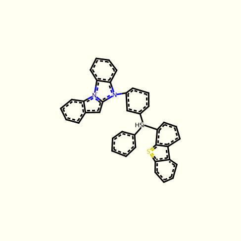 c1ccc([SiH](c2cccc(-n3c4ccccc4n4c5ccccc5cc34)c2)c2cccc3c2sc2ccccc23)cc1